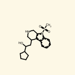 CS(=O)(=O)n1c2c(c3ccccc31)C(CC(O)C1CCCC1)CNC2